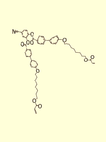 C=CC(=O)OCCCCCCCCOc1ccc(-c2ccc(C(=O)Oc3ccc(C#N)cc3OC(=O)c3ccc(-c4ccc(OCCCCCCCCOC(=O)C=C)cc4)cc3)cc2)cc1